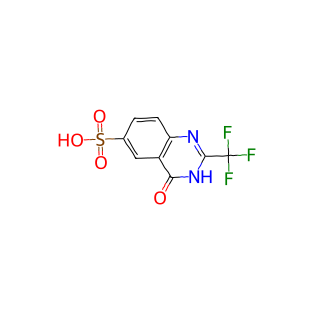 O=c1[nH]c(C(F)(F)F)nc2ccc(S(=O)(=O)O)cc12